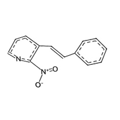 O=[N+]([O-])c1ncccc1C=Cc1ccccc1